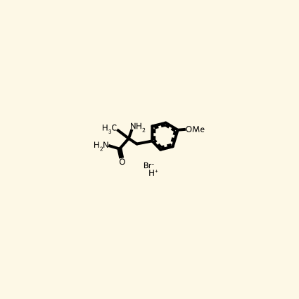 COc1ccc(CC(C)(N)C(N)=O)cc1.[Br-].[H+]